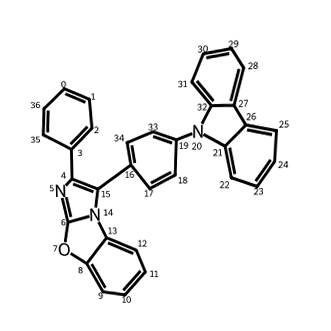 c1ccc(-c2nc3oc4ccccc4n3c2-c2ccc(-n3c4ccccc4c4ccccc43)cc2)cc1